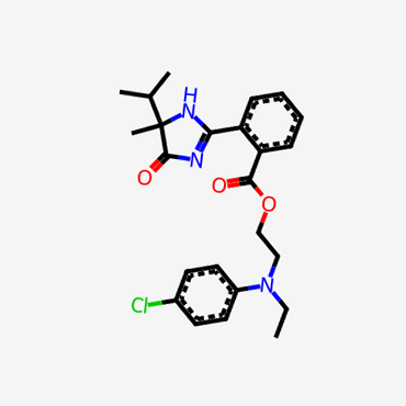 CCN(CCOC(=O)c1ccccc1C1=NC(=O)C(C)(C(C)C)N1)c1ccc(Cl)cc1